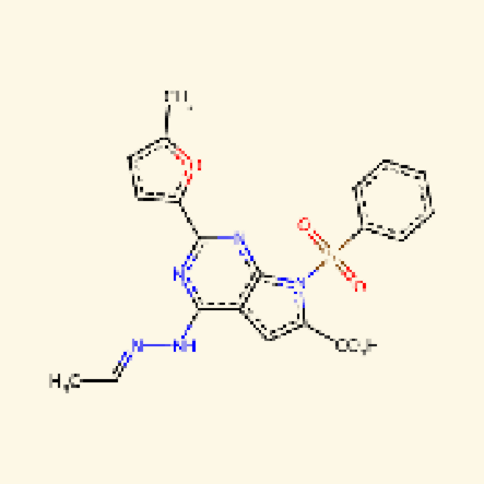 C/C=N/Nc1nc(-c2ccc(C)o2)nc2c1cc(C(=O)O)n2S(=O)(=O)c1ccccc1